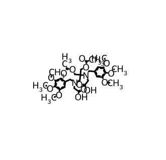 COc1cc(CN(CC(=O)O)CC(COC(C)=O)(COC(C)=O)N(CC(=O)O)Cc2cc(OC)c(OC)c(OC)c2)cc(OC)c1OC